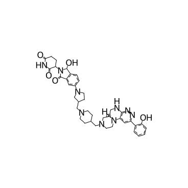 O=C1CCC(N2C(=O)c3cc(N4CCC(CN5CCC(CN6CCN7c8cc(-c9ccccc9O)nnc8NC[C@H]7C6)CC5)C4)ccc3C2O)C(=O)N1